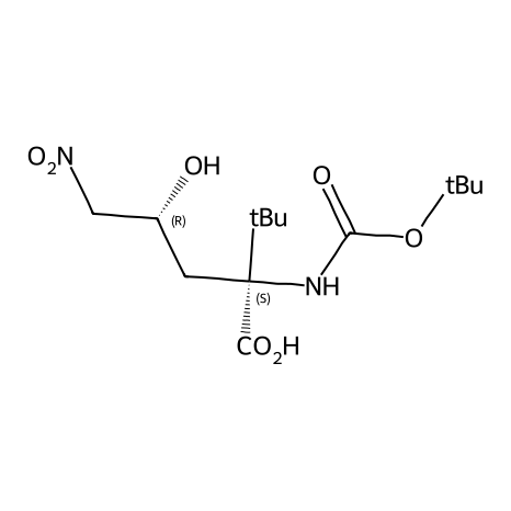 CC(C)(C)OC(=O)N[C@](C[C@@H](O)C[N+](=O)[O-])(C(=O)O)C(C)(C)C